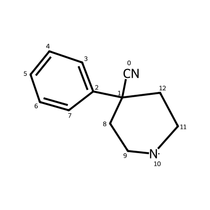 N#CC1(c2ccccc2)CC[N]CC1